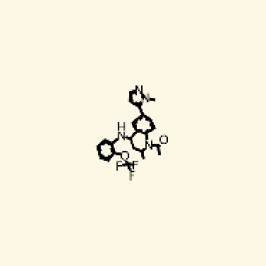 CC(=O)N1c2ccc(-c3ccnn3C)cc2C(Nc2ccccc2OC(F)(F)F)CC1C